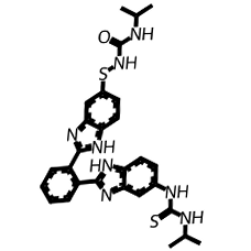 CC(C)NC(=O)NSc1ccc2[nH]c(-c3ccccc3-c3nc4cc(NC(=S)NC(C)C)ccc4[nH]3)nc2c1